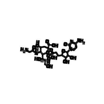 NCC(=O)NC1C(O)CC(OP(=O)(O)CCC2OC(n3ccc(N)nc3=O)C(O)C2O)(C(=O)O)OC1[C@H](O)[C@H](O)CO